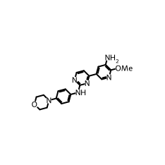 COc1ncc(-c2ccnc(Nc3ccc(N4CCOCC4)cc3)n2)cc1N